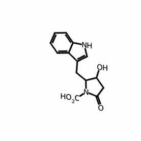 O=C(O)N1C(=O)CC(O)C1Cc1c[nH]c2ccccc12